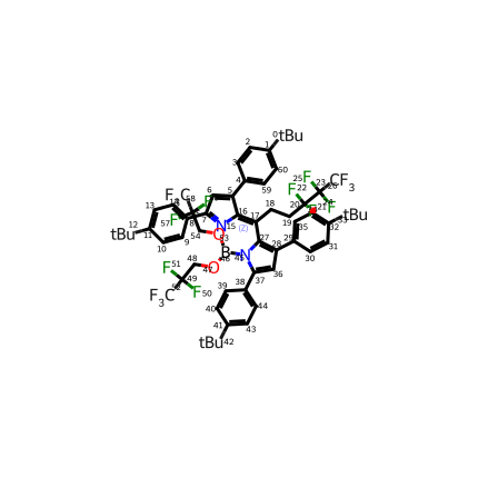 CC(C)(C)c1ccc(C2=CC(c3ccc(C(C)(C)C)cc3)=N/C2=C(/CCC(F)(F)C(F)(F)C(F)(F)F)c2c(-c3ccc(C(C)(C)C)cc3)cc(-c3ccc(C(C)(C)C)cc3)n2B(OCC(F)(F)C(F)(F)F)OCC(F)(F)C(F)(F)F)cc1